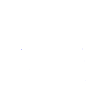 CN(C)CCNc1ccc(NC(=O)c2n[nH]c3ccc(-c4cncc(CN5CCC(F)(F)C5)c4)cc23)cn1